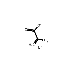 C=C(C)C(=O)[O-].[Li+]